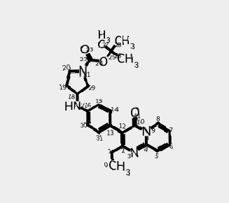 CCc1nc2ccccn2c(=O)c1-c1ccc(NC2CCN(C(=O)OC(C)(C)C)C2)cc1